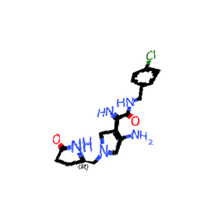 N=C(C(=O)NCc1ccc(Cl)cc1)C1=C(N)CN(C[C@H]2CCC(=O)N2)C1